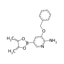 C=C1OB(c2cnc(N)c(OCc3ccccc3)c2)OC1=C